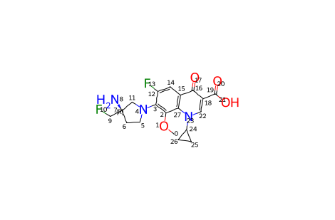 COc1c(N2CC[C@](N)(CF)C2)c(F)cc2c(=O)c(C(=O)O)cn(C3CC3)c12